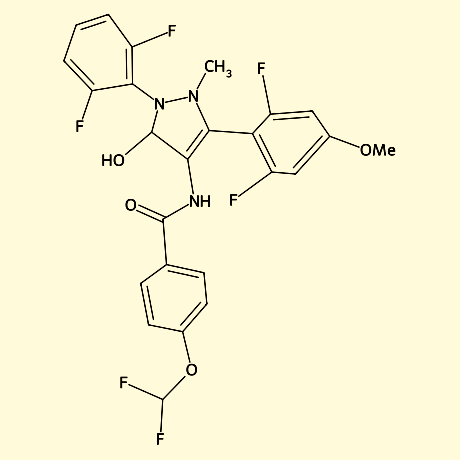 COc1cc(F)c(C2=C(NC(=O)c3ccc(OC(F)F)cc3)C(O)N(c3c(F)cccc3F)N2C)c(F)c1